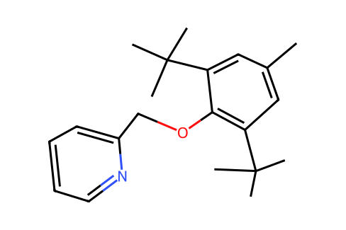 Cc1cc(C(C)(C)C)c(OCc2ccccn2)c(C(C)(C)C)c1